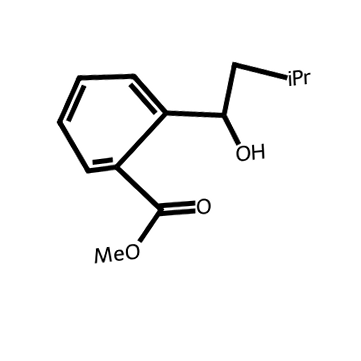 COC(=O)c1ccccc1C(O)CC(C)C